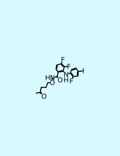 CC(=O)CCCONC(=O)c1ccc(F)c(F)c1Nc1ccc(I)cc1F